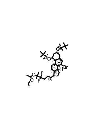 CCOC(C)OC(C)(C)C(F)(F)CC[C@@H](C)[C@H]1CC[C@H]2[C@@H]3C(Br)C=C4C[C@@H](O[Si](C)(C)C(C)(C)C)C[C@H](O[Si](C)(C)C(C)(C)C)[C@]4(C)[C@H]3CC[C@]12C